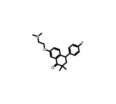 CN(C)CCOc1ccc2c(c1)C(=O)C(C)(C)CC2c1ccc(F)cc1